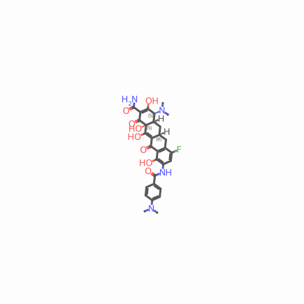 CN(C)c1ccc(C(=O)Nc2cc(F)c3c(c2O)C(=O)C2=C(O)[C@]4(O)C(=O)C(C(N)=O)=C(O)[C@@H](N(C)C)[C@@H]4C[C@@H]2C3)cc1